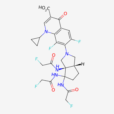 O=C(CF)NC1(NC(=O)CF)CC[C@H]2CN(c3c(F)cc4c(=O)c(C(=O)O)cn(C5CC5)c4c3F)C[C@]21NC(=O)CF